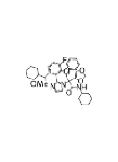 COC(c1ccc(F)c(Cl)c1-c1nccn1C(Cc1ccccc1)(C(=O)NC1CCCCC1)C1=COCO1)C1CCCCC1